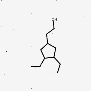 CCC1CC(CCO)CC1CC